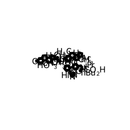 CC(=O)[C@H]1CC[C@H]2[C@@H]3C[C@H](C)C4=CC(=O)CC[C@]4(C)[C@H]3[C@@H](O)C[C@]12C.CCCCC(=O)N(Cc1ccc(-c2ccccc2-c2nnn[nH]2)cc1)[C@H](C(=O)O)C(C)C.C[C@H]1C[C@H]2[C@@H]3CCC4=CC(=O)C=C[C@]4(C)[C@@]3(Cl)[C@@H](O)C[C@]2(C)[C@@]1(O)C(=O)CO